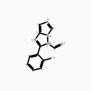 O=C[SH]1C(c2ccccc2F)=Nc2cncn21